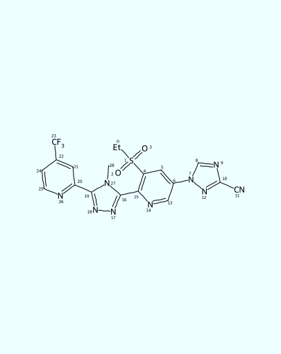 CCS(=O)(=O)c1cc(-n2cnc(C#N)n2)cnc1-c1nnc(-c2cc(C(F)(F)F)ccn2)n1C